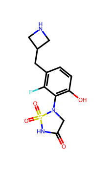 O=C1CN(c2c(O)ccc(CC3CNC3)c2F)S(=O)(=O)N1